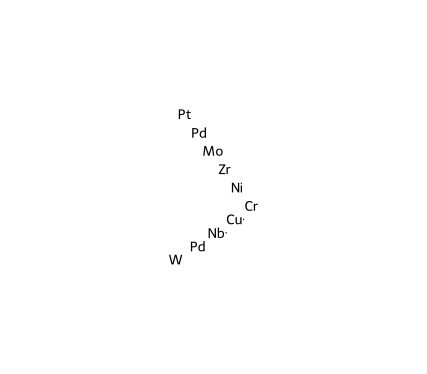 [Cr].[Cu].[Mo].[Nb].[Ni].[Pd].[Pd].[Pt].[W].[Zr]